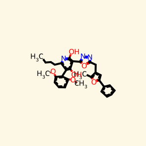 CCCCc1nc(O)c(-c2nnc(Cc3cc(-c4ccccc4)oc3C)o2)c(O)c1-c1c(OC)cccc1OC